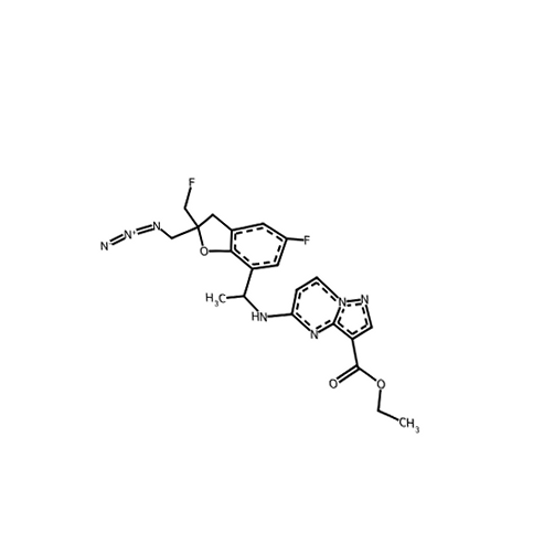 CCOC(=O)c1cnn2ccc(NC(C)c3cc(F)cc4c3OC(CF)(CN=[N+]=[N-])C4)nc12